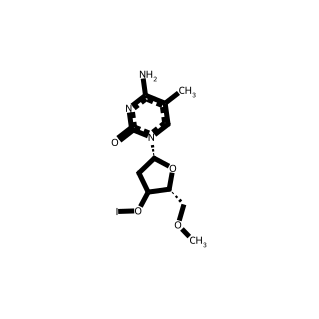 COC[C@H]1O[C@@H](n2cc(C)c(N)nc2=O)CC1OI